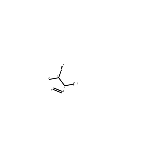 C=C.CC(F)CF